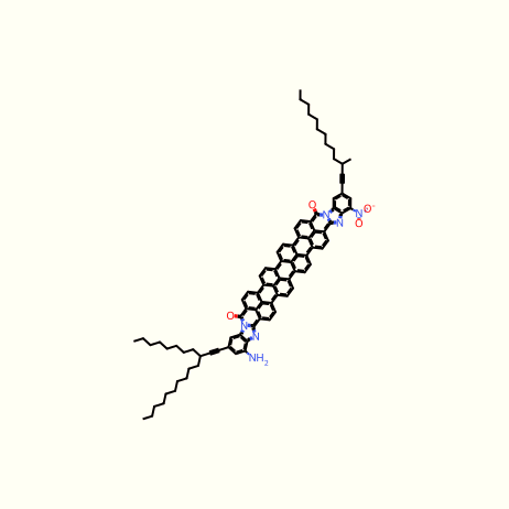 CCCCCCCCCCC(C)C#Cc1cc([N+](=O)[O-])c2nc3c4ccc5c6ccc7c8ccc9c%10ccc%11c%12c(ccc(c%13ccc(c%14ccc(c%15ccc(c(=O)n3c2c1)c4c%155)c6c%147)c8c%139)c%10%12)c(=O)n1c2cc(C#CC(CCCCCCCC)CCCCCCCCCC)cc(N)c2nc%111